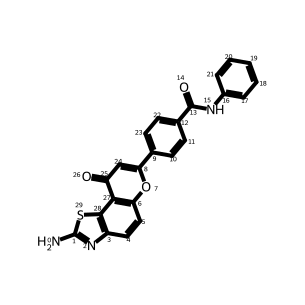 Nc1nc2ccc3oc(-c4ccc(C(=O)Nc5ccccc5)cc4)cc(=O)c3c2s1